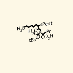 BCCCCCC(CCCCC)C(C)CN(C(=O)OC(C)(C)C)[C@H](C(=O)O)C(C)C